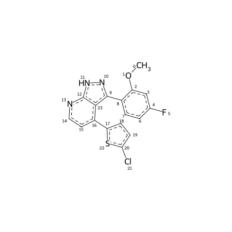 COc1cc(F)ccc1-c1n[nH]c2nccc(-c3ccc(Cl)s3)c12